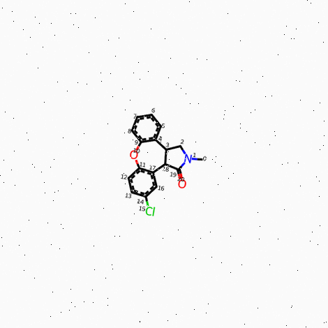 CN1CC2c3ccccc3Oc3ccc(Cl)cc3C2C1=O